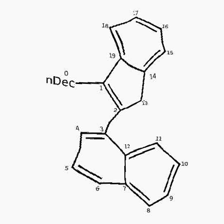 CCCCCCCCCCC1=C(c2cccc3ccccc23)[CH]c2ccccc21